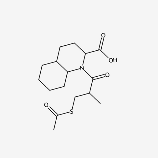 CC(=O)SCC(C)C(=O)N1C(C(=O)O)CCC2CCCCC21